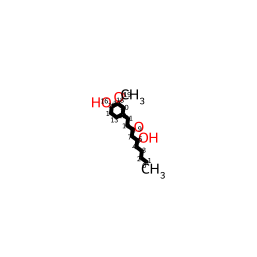 CCCCC[C@@H](O)CC(=O)CCC1CCC(O)C(OC)C1